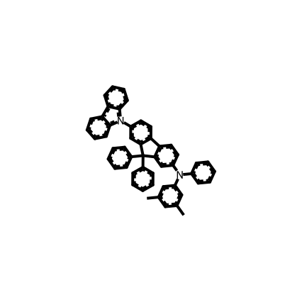 Cc1cc(C)cc(N(c2ccccc2)c2ccc3c(c2)C(c2ccccc2)(c2ccccc2)c2cc(-n4c5ccccc5c5ccccc54)ccc2-3)c1